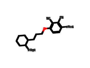 CCCCCCCC1CCCCC1CCCOc1ccc(CCCCC)c(C#N)c1C#N